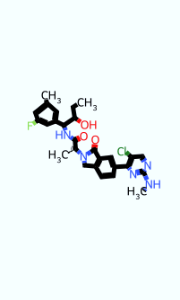 CCC(O)C(NC(=O)[C@@H](C)N1Cc2ccc(-c3nc(NC)ncc3Cl)cc2C1=O)c1cc(C)cc(F)c1